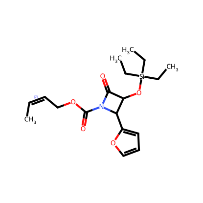 C/C=C\COC(=O)N1C(=O)C(O[Si](CC)(CC)CC)C1c1ccco1